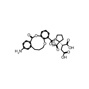 NC(=O)[C@]1(C(CC(=O)O)C(=O)O)CCCN1C(=O)c1cccc2c1OCCCc1cc(N)ccc1C(=O)O2